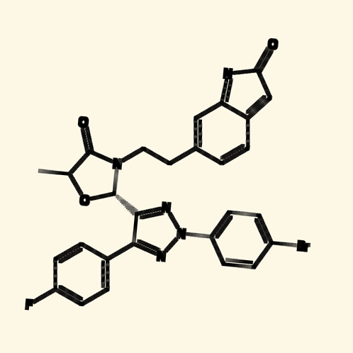 CC1O[C@@H](c2nn(-c3ccc(Br)cc3)nc2-c2ccc(F)cc2)N(CCc2ccc3c(c2)=NC(=O)C=3)C1=O